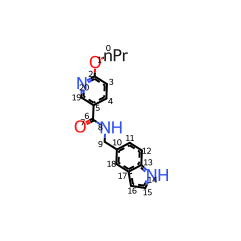 CCCOc1ccc(C(=O)NCc2ccc3[nH]ccc3c2)cn1